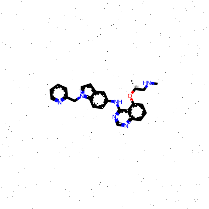 CNC[C@@H](C)Oc1cccc2ncnc(Nc3ccc4c(ccn4Cc4ccccn4)c3)c12